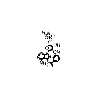 CC(Sc1nn([C@@H]2O[C@H](COS(N)(=O)=O)[C@@H](O)[C@H]2O)c2ncnc(N)c12)c1ccccc1